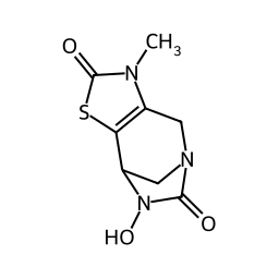 Cn1c2c(sc1=O)C1CN(C2)C(=O)N1O